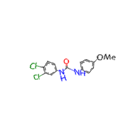 COc1ccc(NC(=O)Nc2ccc(Cl)c(Cl)c2)cc1